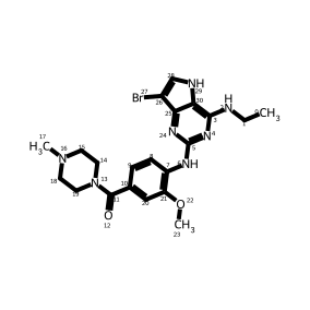 CCNc1nc(Nc2ccc(C(=O)N3CCN(C)CC3)cc2OC)nc2c(Br)c[nH]c12